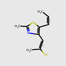 C/C=C\c1sc(C)nc1/C=C(\C)S